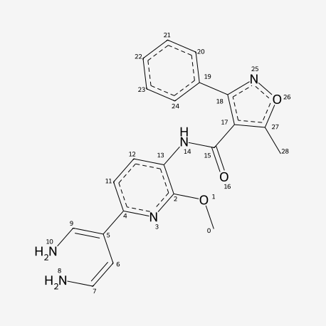 COc1nc(C(/C=C\N)=C/N)ccc1NC(=O)c1c(-c2ccccc2)noc1C